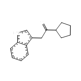 O=C(Cc1c[nH]c2ccccc12)C1CCCC1